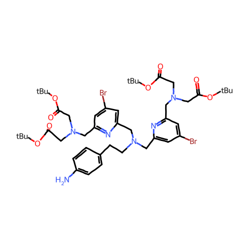 CC(C)(C)OC(=O)CN(CC(=O)OC(C)(C)C)Cc1cc(Br)cc(CN(CCc2ccc(N)cc2)Cc2cc(Br)cc(CN(CC(=O)OC(C)(C)C)CC(=O)OC(C)(C)C)n2)n1